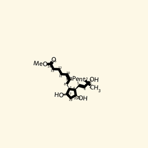 CCCCCC(C)(O)/C=C/[C@@H]1[C@@H](C/C=C\CCCC(=O)OC)[C@@H](O)C[C@H]1O